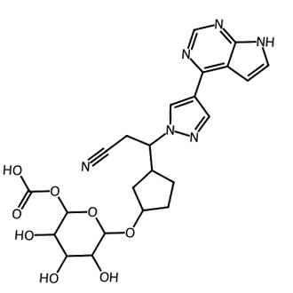 N#CCC(C1CCC(OC2OC(OC(=O)O)C(O)C(O)C2O)C1)n1cc(-c2ncnc3[nH]ccc23)cn1